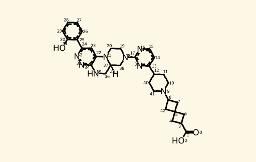 O=C(O)C1CC2(C1)CC(N1CCC(c3ccnc(N4CCN5c6cc(-c7ccccc7O)nnc6NC[C@H]5C4)n3)CC1)C2